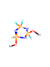 CCOP1(F)=N[PH](F)(F)N[PH](F)(OCC)N1